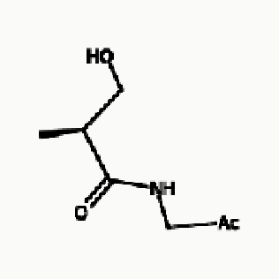 CC(=O)CNC(=O)[C@@H](C)CO